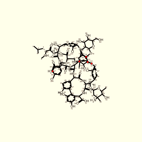 CN[C@H](CC(C)C)C(=O)N[C@@H]1C(=O)NC(CC(N)=O)C(=O)NC2C(=O)NC3C(=O)N[C@H](C(=O)NC(C(=O)O)c4cc(O)cc(O)c4-c4cc3ccc4O)[C@H](OC3CC(C)(N)C(O)C(C)O3)c3ccc(c(Cl)c3)Oc3cc2cc(c3OC2OC(CO)C(O)C(O)C2OC2CC(C)(NCC(OCc3ccc(Cl)cc3)C(=O)O)C(O)C(C)O2)Oc2ccc(cc2Cl)C1O